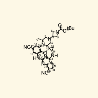 C[C@H]1CN(C2CN(C(=O)OC(C)(C)C)C2)CCN1c1cc(C#N)cc(Nc2nc(NC3CC3)n3ncc(C#N)c3n2)c1Cl